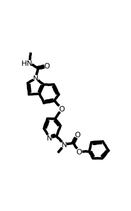 CNC(=O)n1ccc2cc(Oc3ccnc(N(C)C(=O)Oc4ccccc4)c3)ccc21